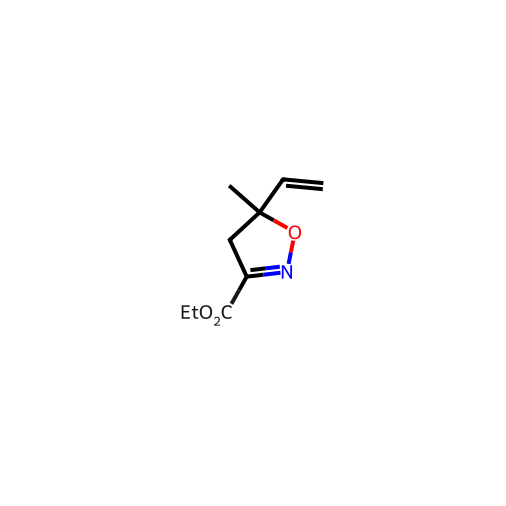 C=CC1(C)CC(C(=O)OCC)=NO1